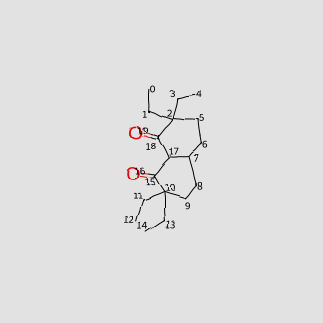 CCC1(CC)CCC2CCC(CC)(CC)C(=O)C2C1=O